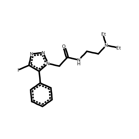 CCN(CC)CCNC(=O)Cn1nnc(I)c1-c1ccccc1